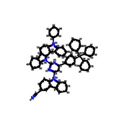 N#Cc1ccc2c(c1)c1ccccc1n2-c1cc(-c2ccc([Si](c3ccccc3)(c3ccccc3)c3ccccc3)cc2)nc(-n2c3ccccc3c3ccc4c(c5ccccc5n4-c4ccccc4)c32)n1